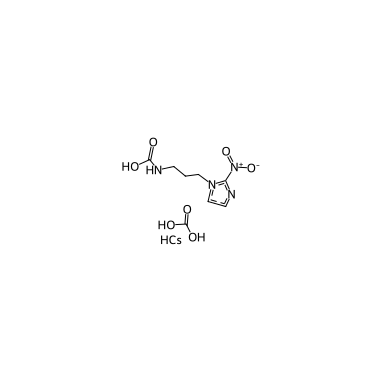 O=C(O)NCCCn1ccnc1[N+](=O)[O-].O=C(O)O.[CsH]